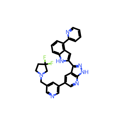 FC1(F)CCN(Cc2cncc(-c3cnc4[nH]nc(-c5cc6c(-c7ccccn7)cccc6[nH]5)c4c3)c2)C1